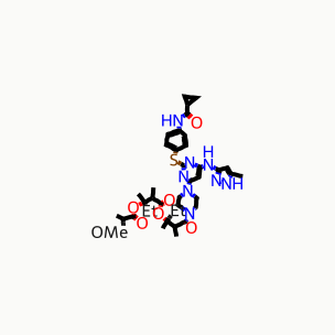 CCC(C)(OC(=O)C(C)OC)C(C)C(=O)OC(C)(CC)C(C)C(=O)N1CCN(c2cc(Nc3cc(C)[nH]n3)nc(Sc3ccc(NC(=O)C4CC4)cc3)n2)CC1